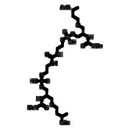 CNC(=O)N[C@H](COCC[C@@H](C)OC(C)=O)COP(=O)(O)OCCNC(=O)NCCOP(=O)(O)OC[C@@H](COCC[C@@H](C)OC(C)=O)NC(=O)NC